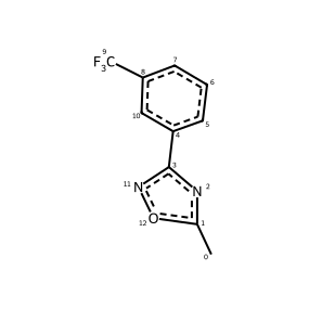 Cc1nc(-c2cccc(C(F)(F)F)c2)no1